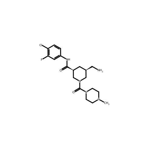 CN1CCN(C(=O)N2C[C@H](CN)C[C@H](C(=O)Nc3ccc(Cl)c(F)c3)C2)CC1